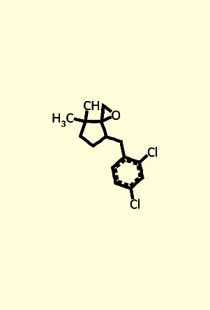 CC1(C)CCC(Cc2ccc(Cl)cc2Cl)C12CO2